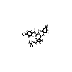 CC(=O)NCc1nnc([C@H](Cc2ccc(Cl)cc2)NC(=O)Nc2ccc(Cl)cc2)o1